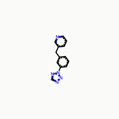 [c]1nnn(-c2cccc(Cc3cccnc3)c2)n1